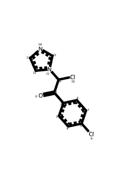 O=C(c1ccc(Cl)cc1)C(Cl)n1ccnc1